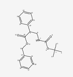 CC(C)(C)OC(=O)NCC(C(=O)OCc1cccnc1)c1ccccc1